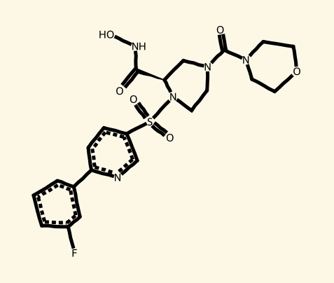 O=C(NO)[C@H]1CN(C(=O)N2CCOCC2)CCN1S(=O)(=O)c1ccc(-c2cccc(F)c2)nc1